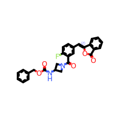 O=C(NC1CN(C(=O)c2cc(/C=C3\OC(=O)c4ccccc43)ccc2F)C1)OCc1ccccc1